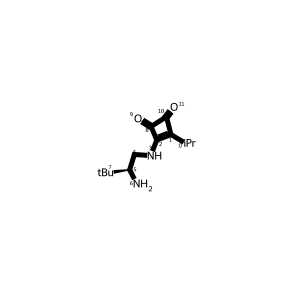 CC(C)c1c(NC[C@@H](N)C(C)(C)C)c(=O)c1=O